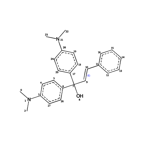 CN(C)c1ccc(C(O)(/C=C/c2ccccc2)c2ccc(N(C)C)cc2)cc1